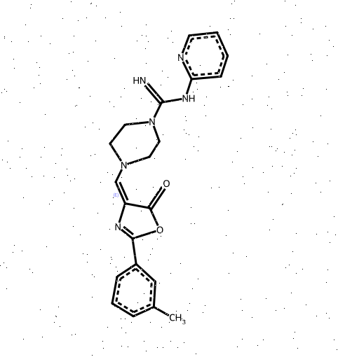 Cc1cccc(C2=N/C(=C/N3CCN(C(=N)Nc4ccccn4)CC3)C(=O)O2)c1